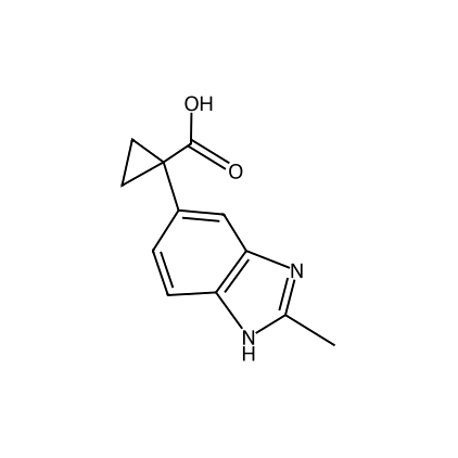 Cc1nc2cc(C3(C(=O)O)CC3)ccc2[nH]1